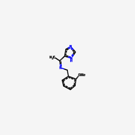 COc1ccccc1CN=C(C)c1cnc[nH]1